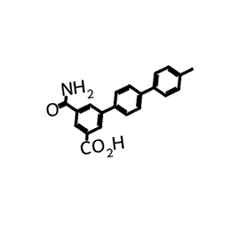 Cc1ccc(-c2ccc(-c3cc(C(N)=O)cc(C(=O)O)c3)cc2)cc1